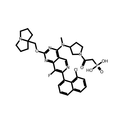 CN(c1nc(OCC23CCCN2CCC3)nc2c(F)c(-c3cccc4cccc(Cl)c34)ncc12)C1CCN(C(=O)CP(=O)(O)O)C1